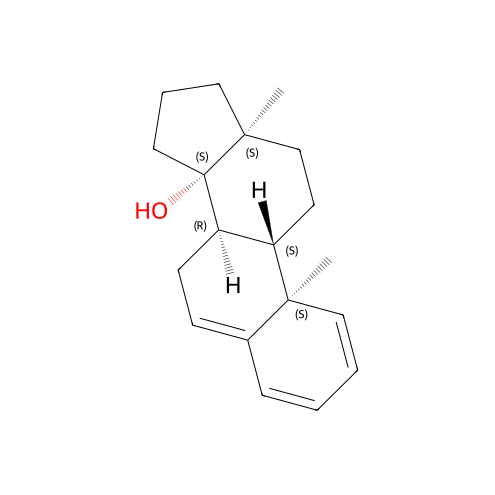 C[C@@]12CCC[C@]1(O)[C@@H]1CC=C3C=CC=C[C@]3(C)[C@H]1CC2